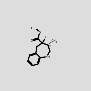 COC(=O)C1(F)Cc2ccccc2NC[C@H]1C